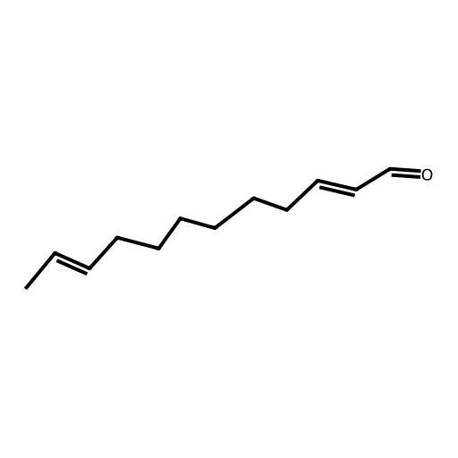 C/C=C/CCCCCC/C=C/C=O